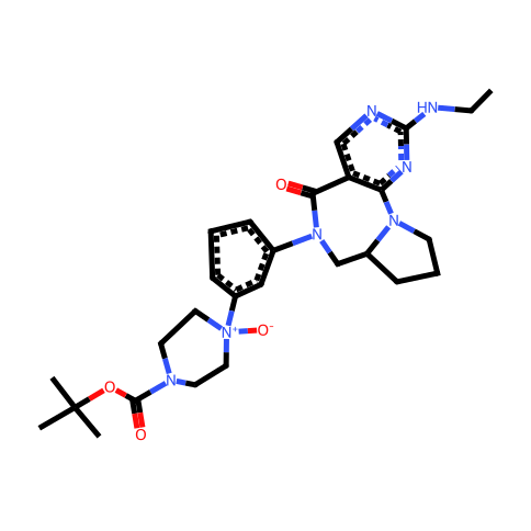 CCNc1ncc2c(n1)N1CCCC1CN(c1cccc([N+]3([O-])CCN(C(=O)OC(C)(C)C)CC3)c1)C2=O